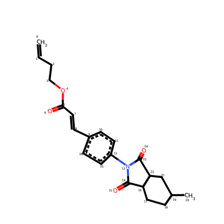 C=CCCOC(=O)C=Cc1ccc(N2C(=O)C3CCC(C)CC3C2=O)cc1